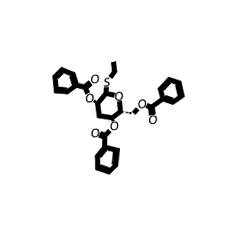 CCSC1O[C@H](COC(=O)c2ccccc2)[C@@H](OC(=O)c2ccccc2)C[C@H]1OC(=O)c1ccccc1